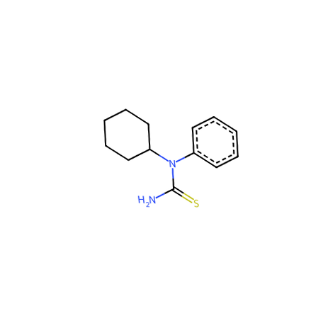 NC(=S)N(c1ccccc1)C1CCCCC1